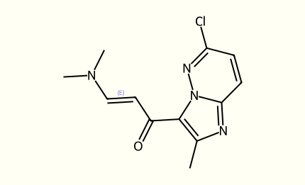 Cc1nc2ccc(Cl)nn2c1C(=O)/C=C/N(C)C